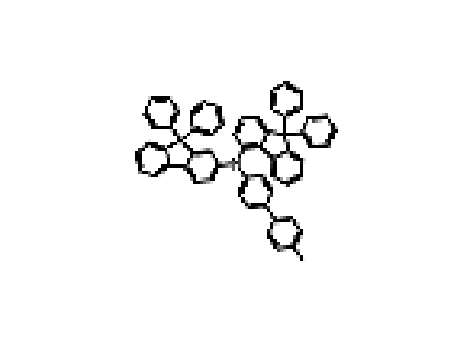 Cc1ccc(-c2ccc(N(c3ccc4c(c3)C(c3ccccc3)(c3ccccc3)c3ccccc3-4)c3cccc4c3-c3ccccc3C4(c3ccccc3)c3ccccc3)cc2)cc1